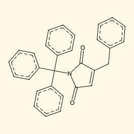 O=C1C=C(Cc2ccccc2)C(=O)N1C(c1ccccc1)(c1ccccc1)c1ccccc1